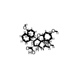 COc1ccc([C@@]23Oc4cc(OC)cc(OC)c4[C@@]24NC(C)=N[C@H]4[C@H](C(=O)O)[C@H]3c2ccccc2)cc1